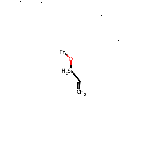 C=C[SiH2]OCC